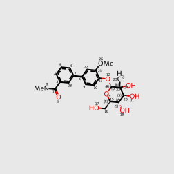 CNC(=O)c1cccc(-c2ccc(O[C@H]3O[C@H](CO)[C@@H](O)[C@H](O)[C@@]3(C)O)c(OC)c2)c1